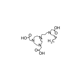 C/P=C\CN(CCCN1CCN(CC(=O)O)CCN(CC(=O)O)CC1)CC(=O)O